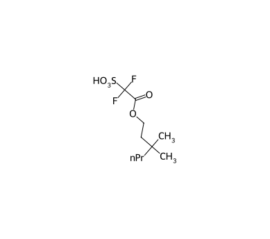 CCCC(C)(C)CCOC(=O)C(F)(F)S(=O)(=O)O